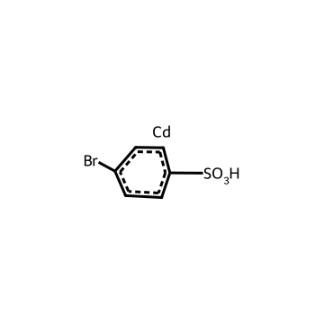 O=S(=O)(O)c1ccc(Br)cc1.[Cd]